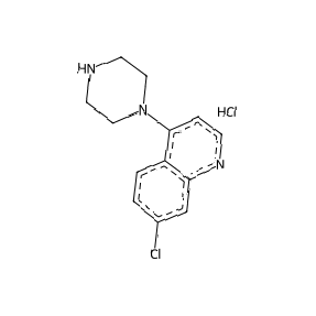 Cl.Clc1ccc2c(N3CCNCC3)ccnc2c1